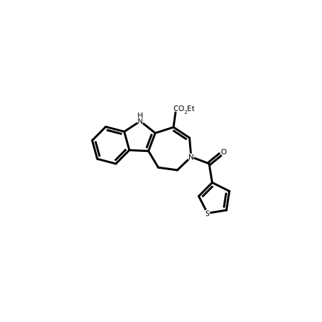 CCOC(=O)C1=CN(C(=O)c2ccsc2)CCc2c1[nH]c1ccccc21